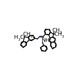 CC1(C)c2ccccc2-c2cc(C/C=C(\NCc3ccccc3)c3cccc4c3-c3cc5ccccc5cc3C4(C)C)ccc21